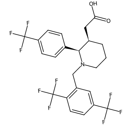 O=C(O)C[C@H]1CCCN(Cc2cc(C(F)(F)F)ccc2C(F)(F)F)[C@H]1c1ccc(C(F)(F)F)cc1